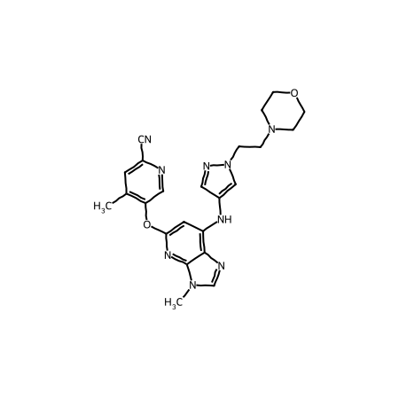 Cc1cc(C#N)ncc1Oc1cc(Nc2cnn(CCN3CCOCC3)c2)c2ncn(C)c2n1